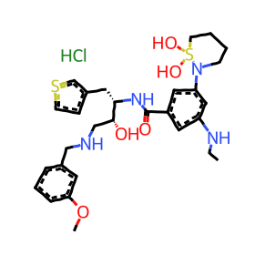 CCNc1cc(C(=O)N[C@@H](Cc2ccsc2)[C@H](O)CNCc2cccc(OC)c2)cc(N2CCCCS2(O)O)c1.Cl